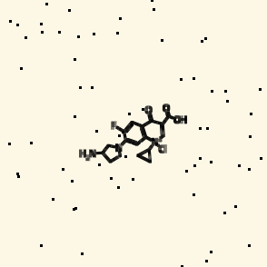 NC1CCN(c2cc3c(cc2F)C(=O)C(C(=O)O)=C[N+]3(Cl)C2CC2)C1